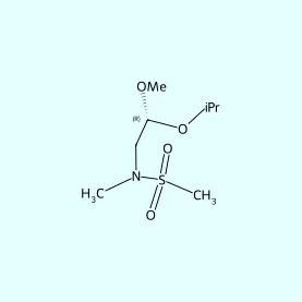 CO[C@@H](CN(C)S(C)(=O)=O)OC(C)C